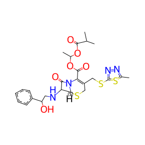 Cc1nnc(SCC2=C(C(=O)OC(C)OC(=O)C(C)C)N3C(=O)C(NCC(O)c4ccccc4)[C@@H]3SC2)s1